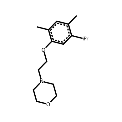 Cc1cc(C)c(C(C)C)cc1OCCN1CCOCC1